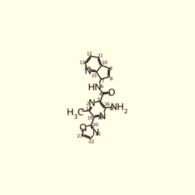 Cc1nc(C(=O)NC2C=Cc3cccnc32)c(N)nc1-c1ncco1